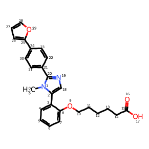 Cn1c(-c2ccccc2OCCCCCC(=O)O)cnc1-c1ccc(-c2ccco2)cc1